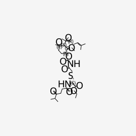 CCOC(=O)[C@@H](CSCC(=O)NC(=O)O[C@@H]1CC[C@]2(CO2)[C@@H](C2(C)O[C@@H]2CC=C(C)C)[C@@H]1OC)NC(=O)CCC(=O)C(C)C